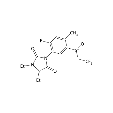 CCn1c(=O)n(-c2cc([S+]([O-])CC(F)(F)F)c(C)cc2F)c(=O)n1CC